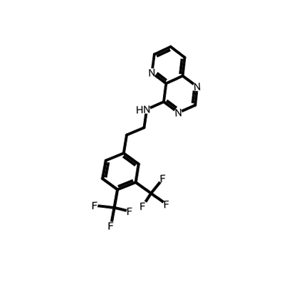 FC(F)(F)c1ccc(CCNc2ncnc3cccnc23)cc1C(F)(F)F